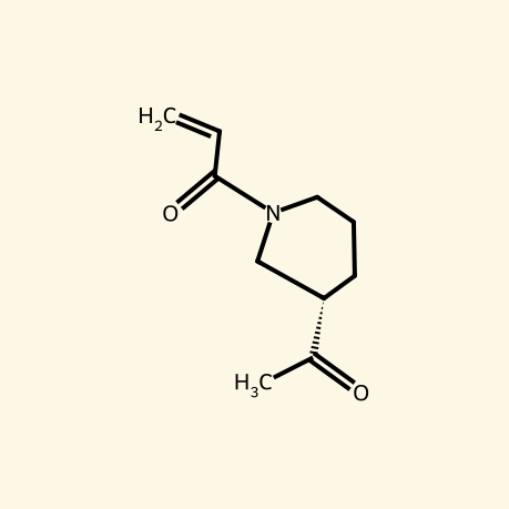 C=CC(=O)N1CCC[C@H](C(C)=O)C1